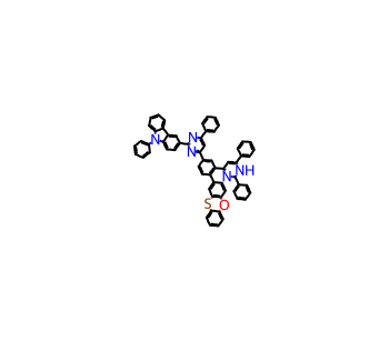 C1=C(c2ccccc2)NC(c2ccccc2)N=C1c1cc(-c2cc(-c3ccccc3)nc(-c3ccc4c(c3)c3ccccc3n4-c3ccccc3)n2)ccc1-c1ccc2c(c1)Sc1ccccc1O2